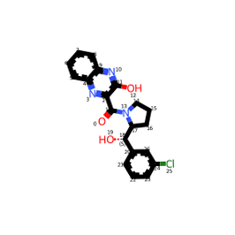 O=C(c1nc2ccccc2nc1O)N1CCCC1[C@@H](O)c1cccc(Cl)c1